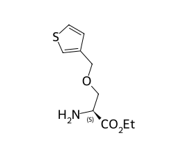 CCOC(=O)[C@@H](N)COCc1ccsc1